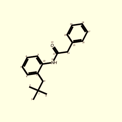 CC(C)(C)Cc1ccccc1NC(=O)Cc1ccccc1